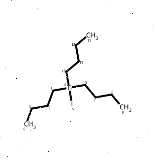 CCC[CH2][Ti]([I])([CH2]CCC)[CH2]CCC